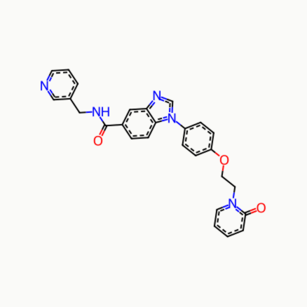 O=C(NCc1cccnc1)c1ccc2c(c1)ncn2-c1ccc(OCCn2ccccc2=O)cc1